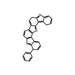 C1=CCC2=C3C(=NC2=C1)CC=C1C3=Nc2c1ccc1c2C2=CC=CC(c3ccccc3)C2=N1